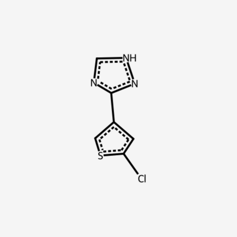 Clc1cc(-c2nc[nH]n2)cs1